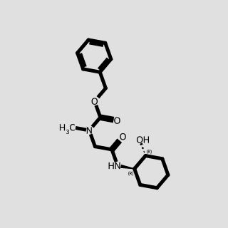 CN(CC(=O)N[C@@H]1CCCC[C@H]1O)C(=O)OCc1ccccc1